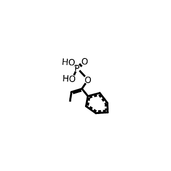 C/C=C(/OP(=O)(O)O)c1ccccc1